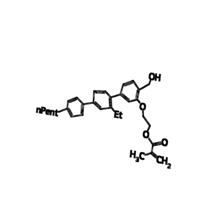 C=C(C)C(=O)OCCOc1cc(-c2ccc(-c3ccc(CCCCC)cc3)cc2CC)ccc1CO